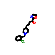 O=C(CCCC1CCN(Cc2ccccc2Cl)CC1)c1ncco1